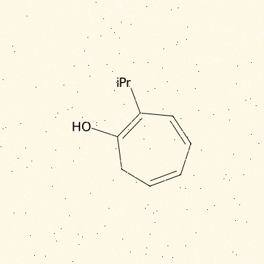 CC(C)C1=C(O)CC=CC=C1